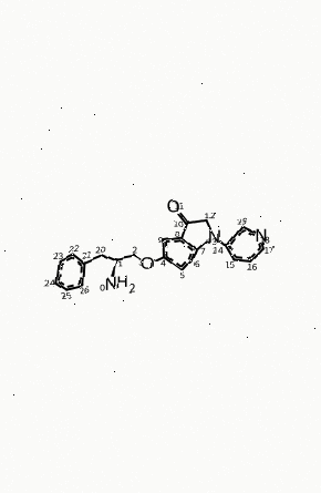 N[C@H](COc1ccc2c(c1)C(=O)CN2c1cccnc1)Cc1ccccc1